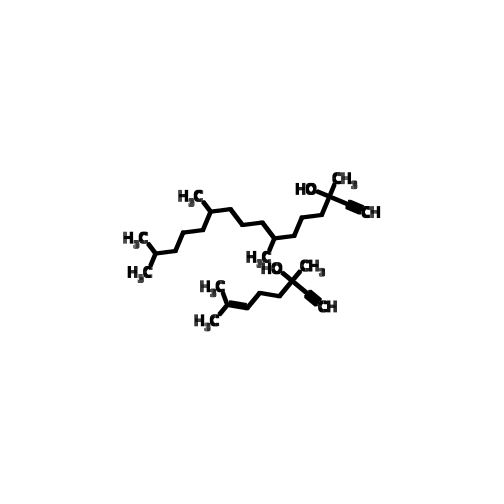 C#CC(C)(O)CCC=C(C)C.C#CC(C)(O)CCCC(C)CCCC(C)CCCC(C)C